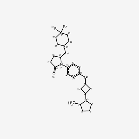 C[C@@H]1CCCN1C1CC(Oc2ccc(N3C(=O)CC[C@H]3CN3CCC(F)(F)CC3)cc2)C1